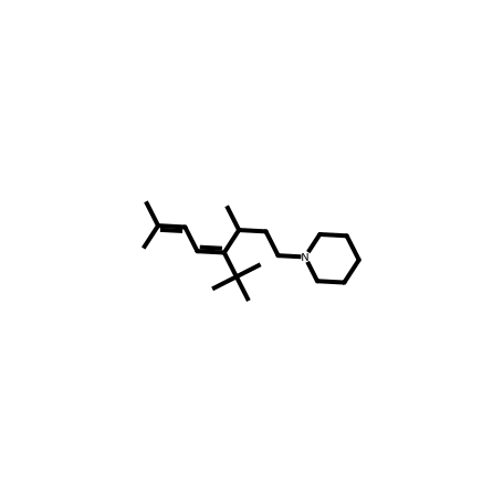 CC(C)=C/C=C(\C(C)CCN1CCCCC1)C(C)(C)C